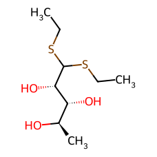 CCSC(SCC)[C@@H](O)[C@H](O)[C@@H](C)O